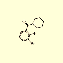 O=C(c1cccc(Br)c1F)N1CCCCC1